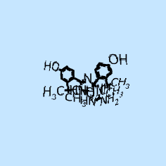 CC(C)(C)c1cc(O)ccc1C1=NC(NC(=N)N)(c2ccc(O)cc2C(C)(C)C)ON1